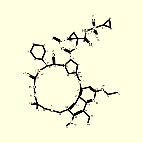 C=C[C@@H]1CC1(NC(=O)[C@@H]1C[C@@H]2CN1C(=O)[C@H](C1CCCCC1)NC(=O)OCC(C)(C)CCCc1cc3c(cc(OCC)nc3c(CC)c1OC)O2)C(=O)NS(=O)(=O)C1CC1